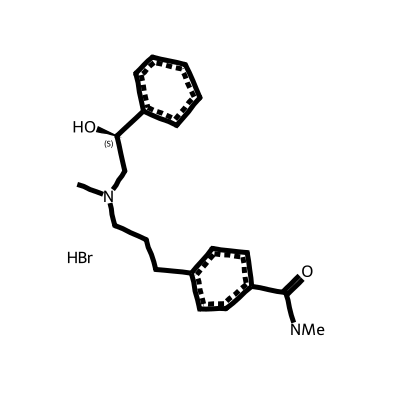 Br.CNC(=O)c1ccc(CCCN(C)C[C@@H](O)c2ccccc2)cc1